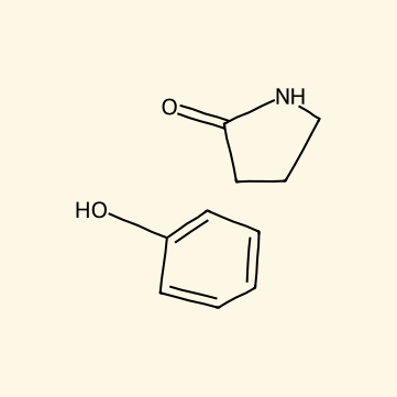 O=C1CCCN1.Oc1ccccc1